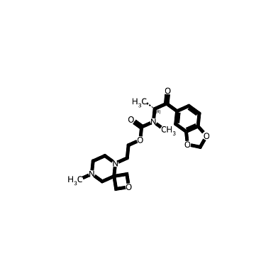 C[C@H](C(=O)c1ccc2c(c1)OCO2)N(C)C(=O)OCCN1CCN(C)CC12COC2